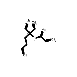 C=CCCC(C=C)(C=C)OC(=C)C=C